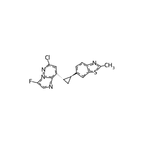 Cc1nc2ccc([C@H]3C[C@@H]3c3cc(Cl)nn4c(F)cnc34)cc2s1